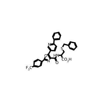 O=C(NC(CSCc1ccccc1)C(=O)O)c1nc(-c2ccc(C(F)(F)F)cc2)oc1-c1ccc(-c2ccccc2)nc1